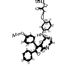 COc1ccc(-c2c(-c3ccccc3)oc3ncnc(N[C@@H]4CCC[C@H](OCC(=O)OC(C)(C)C)C4)c23)cc1